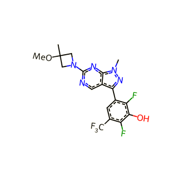 COC1(C)CN(c2ncc3c(-c4cc(C(F)(F)F)c(F)c(O)c4F)nn(C)c3n2)C1